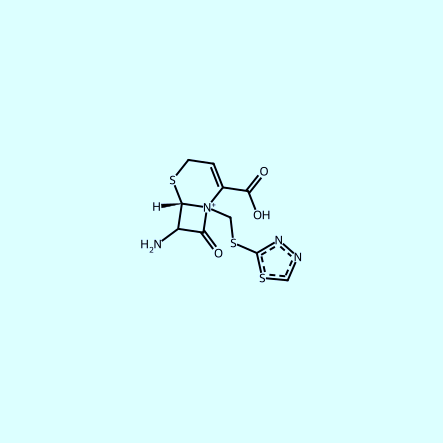 NC1C(=O)[N+]2(CSc3nncs3)C(C(=O)O)=CCS[C@@H]12